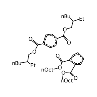 CCCCC(CC)COC(=O)c1ccc(C(=O)OCC(CC)CCCC)cc1.CCCCCCCCOC(=O)c1ccccc1C(=O)OCCCCCCCC